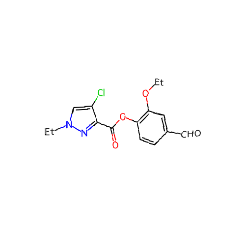 CCOc1cc(C=O)ccc1OC(=O)c1nn(CC)cc1Cl